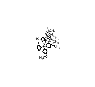 C=C1[C@@H](O)C[C@H](OC(=O)C(C)(C)C)[C@]1(COC(=O)C(C)(C)C)COC(c1ccccc1)(c1ccc(OC)cc1)c1ccc(OC)cc1